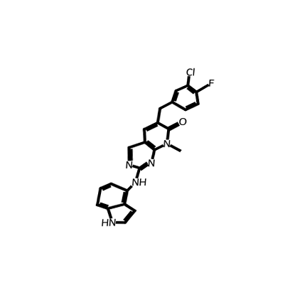 Cn1c(=O)c(Cc2ccc(F)c(Cl)c2)cc2cnc(Nc3cccc4[nH]ccc34)nc21